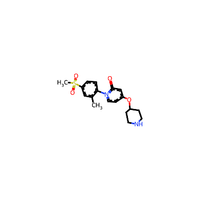 Cc1cc(S(C)(=O)=O)ccc1-n1ccc(OC2CCNCC2)cc1=O